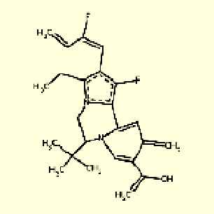 C=C/C(F)=C\c1c(F)c2n(c1CC)CC(C(C)(C)C)N1C=C(C(=C)O)C(=C)C=C21